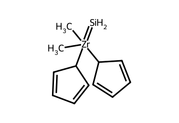 [CH3][Zr]([CH3])(=[SiH2])([CH]1C=CC=C1)[CH]1C=CC=C1